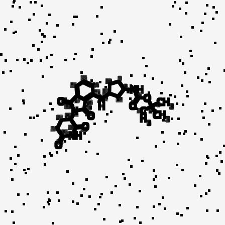 CC(C)(C)OC(=O)NC1CCC(Nc2cccc3c2C(=O)N(C2CCC(=O)NC2=O)C3=O)C1